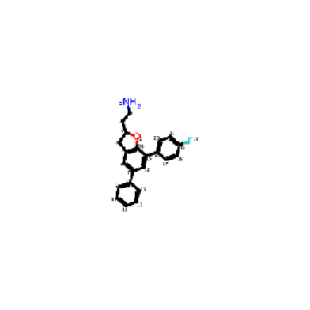 NCCC1Cc2cc(-c3ccccc3)cc(-c3ccc(F)cc3)c2O1